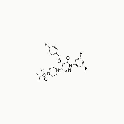 CC(C)S(=O)(=O)N1CCN(c2cnn(-c3cc(F)cc(F)c3)c(=O)c2OCc2ccc(F)cc2)CC1